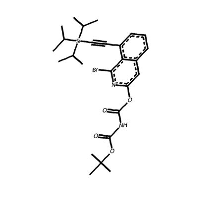 CC(C)[Si](C#Cc1cccc2cc(OC(=O)NC(=O)OC(C)(C)C)nc(Br)c12)(C(C)C)C(C)C